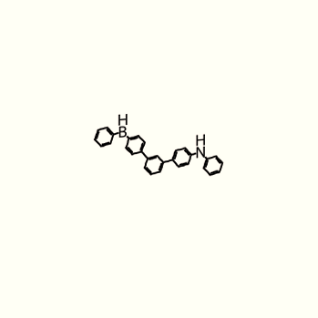 B(c1ccccc1)c1ccc(-c2cccc(-c3ccc(Nc4ccccc4)cc3)c2)cc1